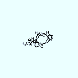 CS(=O)(=O)N[C@H]1CCCN2C(=O)COc3nnccc3[C@H]3CC[C@H](CC3)OC[C@@H]12